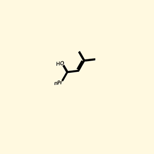 [CH2]CCC(O)C=C(C)C